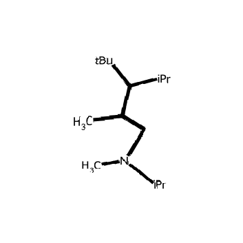 CC(C)C(C(C)CN(C)C(C)C)C(C)(C)C